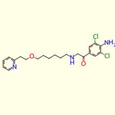 Nc1c(Cl)cc(C(=O)CNCCCCCCOCCc2ccccn2)cc1Cl